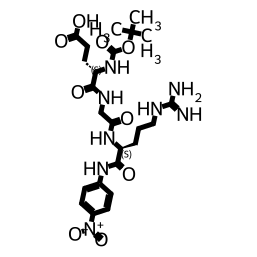 CC(C)(C)OC(=O)N[C@@H](CCC(=O)O)C(=O)NCC(=O)N[C@@H](CCCNC(=N)N)C(=O)Nc1ccc([N+](=O)[O-])cc1